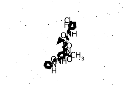 CC(=O)c1nn(CC(=O)N(CC(=O)NCc2cccc(Cl)c2F)C2CC2)c2ccc(NC(=O)Nc3ccccc3)cc12